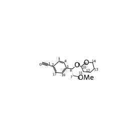 C#Cc1ccc([C@@H](COC)OC2CCCCO2)cc1